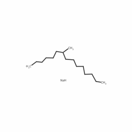 [CH2]CCCCCC(C)CCCCCCCC.[NaH]